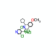 COc1ccc2c(c1)C(C1CCCC1)N=C(Cc1c(Cl)cncc1Cl)C2.Cl.Cl